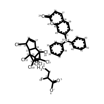 CCC(F)C(=O)[O-].ClC1=C(Cl)C2(Cl)C3C(Cl)C=CC3C1(Cl)C2(Cl)Cl.O=c1ccc2ccc([S+](c3ccccc3)c3ccccc3)cc2o1